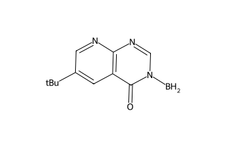 Bn1cnc2ncc(C(C)(C)C)cc2c1=O